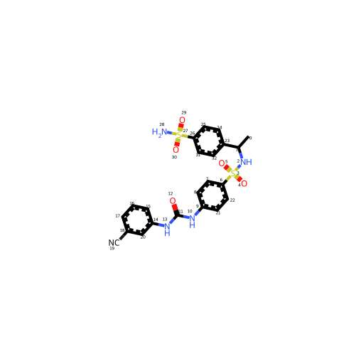 CC(NS(=O)(=O)c1ccc(NC(=O)Nc2cccc(C#N)c2)cc1)c1ccc(S(N)(=O)=O)cc1